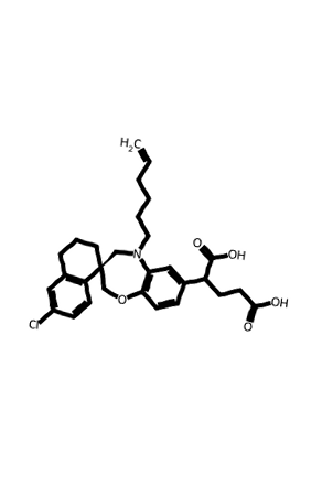 C=CCCCCN1C[C@@]2(CCCc3cc(Cl)ccc32)COc2ccc(C(CCC(=O)O)C(=O)O)cc21